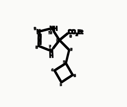 CCOC(=O)C1(CC2CCC2)NC=NN1